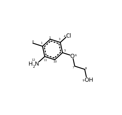 Cc1cc(Cl)c(OCCO)cc1N